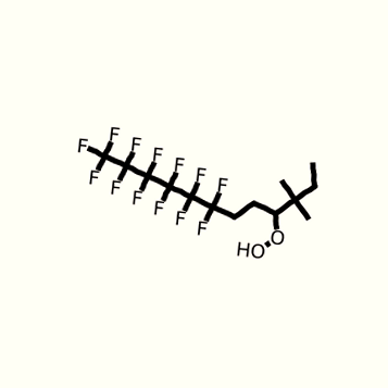 CCC(C)(C)C(CCC(F)(F)C(F)(F)C(F)(F)C(F)(F)C(F)(F)C(F)(F)F)OO